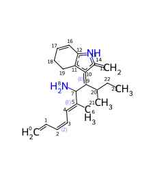 C=C/C=C\C=C(/C)C(N)/C(=c1\c2c([nH]c1=C)C=CCC2)C(C)CC